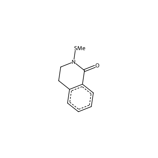 CSN1CCc2ccccc2C1=O